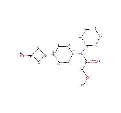 COCC(=O)N(C1CCCCC1)C1CCN(C2CC(O)C2)CC1